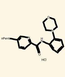 CCCCCc1ccc(C(=O)Nc2ccccc2N2CCOCC2)nc1.Cl